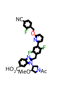 CO[C@@H]1CN(C(C)=O)C[C@@H]1n1c(Cc2cc(F)c(-c3cccc(OCc4ccc(C#N)cc4F)n3)cc2F)nc2ccc(C(=O)O)cc21